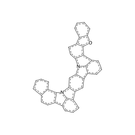 c1ccc2c(c1)ccc1c3cccc4c5cc6c7cccc8c9c%10oc%11ccccc%11c%10ccc9n(c6cc5n(c21)c43)c78